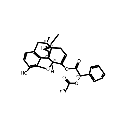 CCCC(=O)O[C@H](C(=O)OC1=CC[C@@]2(O)[C@H]3Cc4ccc(O)c5c4[C@@]2(CCN3C)[C@H]1O5)c1ccccc1